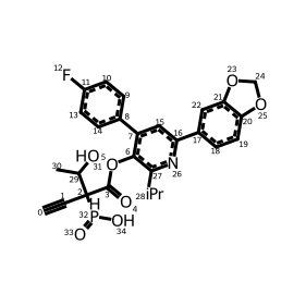 C#CC(C(=O)Oc1c(-c2ccc(F)cc2)cc(-c2ccc3c(c2)OCO3)nc1C(C)C)(C(C)O)[PH](=O)O